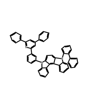 c1ccc(-c2cc(-c3ccccc3)nc(-c3cccc(-n4c5ccccc5c5c6c7ccccc7n(-c7ccccc7-c7ccccc7)c6ccc54)c3)c2)cc1